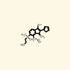 C=C1C(C2=CC=CC2)=[C]([Zr+2])c2ccc([Si](C)(C)CCO)c(C)c21.[Cl-].[Cl-]